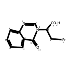 CC(C)CC(C(=O)O)n1cnc2ccccc2c1=O